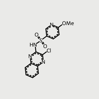 COc1ccc(S(=O)(=O)Nc2nc3ccccc3nc2Cl)cn1